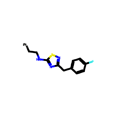 CC(C)CCNc1nc(Cc2ccc(F)cc2)ns1